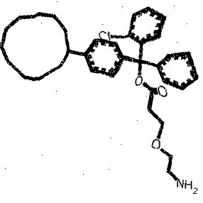 NCCOCCC(=O)OC(c1ccccc1)(c1ccc(C2CCCCCCCCCC2)cc1)c1ccccc1Cl